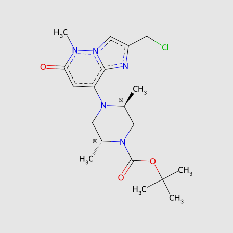 C[C@@H]1CN(c2cc(=O)n(C)n3cc(CCl)nc23)[C@@H](C)CN1C(=O)OC(C)(C)C